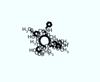 CON=C1C[C@@H](C)O[C@@H](O[C@@H]2[C@@H](C)[C@H](O[C@H]3C[C@@](C)(O)[C@@H](O)[C@H](C)O3)[C@@H](C)C(=O)O[C@H](C(C)CO[C@@H]3O[C@H](C)[C@@H](O)[C@@H](OC)[C@H]3OC)[C@H](C)[C@@H](OC(=O)CC(C)C)[C@@H](C)C(=O)[C@@](C)(OC(=O)NCc3ccccc3)C[C@@H]2C)[C@@H]1O